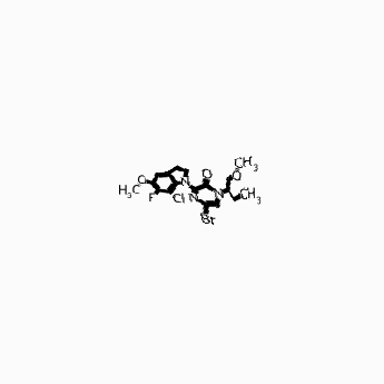 CC[C@H](COC)n1cc(Br)nc(N2CCc3cc(OC)c(F)c(Cl)c32)c1=O